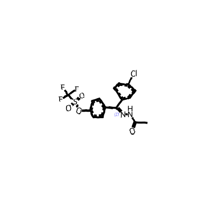 CC(=O)N/N=C(\c1ccc(Cl)cc1)c1ccc(OS(=O)(=O)C(F)(F)F)cc1